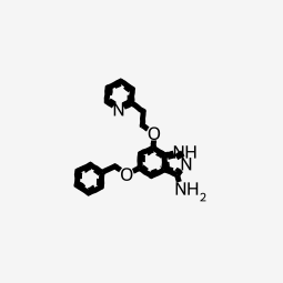 Nc1n[nH]c2c(OCCc3ccccn3)cc(OCc3ccccc3)cc12